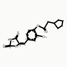 O=C(CC1CCCC1)Oc1ccc(C=C2SC(=O)NC2=O)cc1Cl